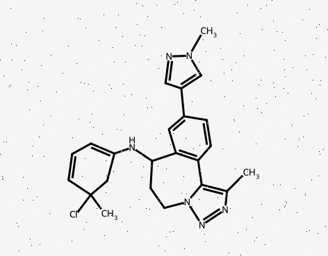 Cc1nnn2c1-c1ccc(-c3cnn(C)c3)cc1C(NC1=CC=CC(C)(Cl)C1)CC2